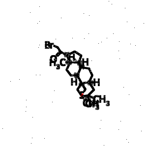 CSC[C@]12CC[C@@](C)(O)C[C@H]1CC[C@H]1[C@@H]3CC[C@H](C(=O)CBr)[C@@]3(C)CC[C@@H]12